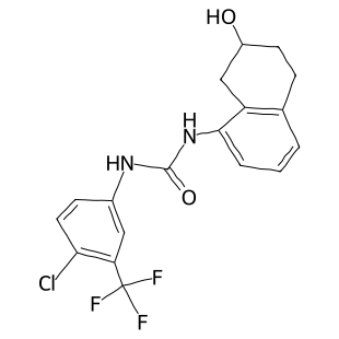 O=C(Nc1ccc(Cl)c(C(F)(F)F)c1)Nc1cccc2c1CC(O)CC2